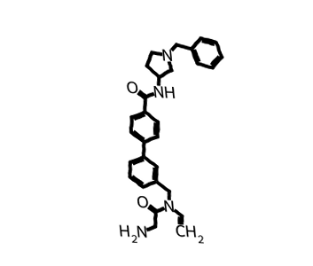 C=CN(Cc1cccc(-c2ccc(C(=O)NC3CCN(Cc4ccccc4)C3)cc2)c1)C(=O)CN